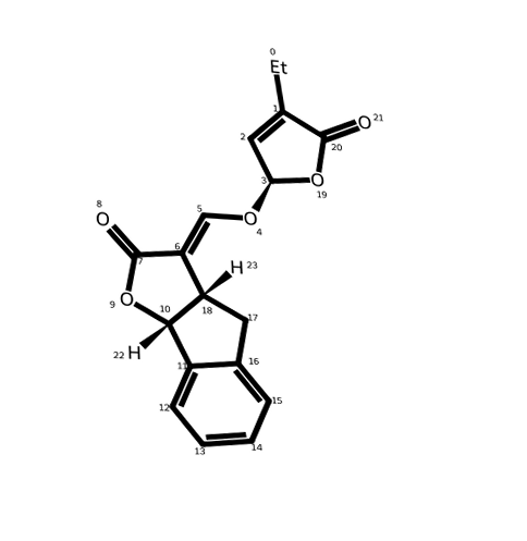 CCC1=C[C@H](O/C=C2/C(=O)O[C@H]3c4ccccc4C[C@@H]23)OC1=O